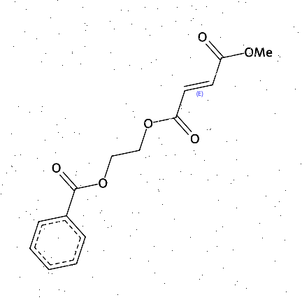 COC(=O)/C=C/C(=O)OCCOC(=O)c1ccccc1